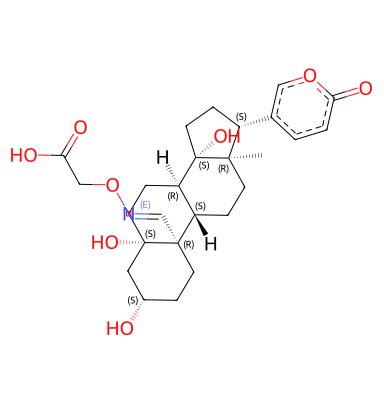 C[C@]12CC[C@H]3[C@@H](CC[C@]4(O)C[C@@H](O)CC[C@]34/C=N/OCC(=O)O)[C@@]1(O)CC[C@@H]2c1ccc(=O)oc1